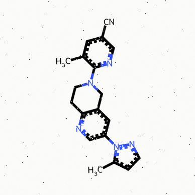 Cc1cc(C#N)cnc1N1CCc2ncc(-n3nccc3C)cc2C1